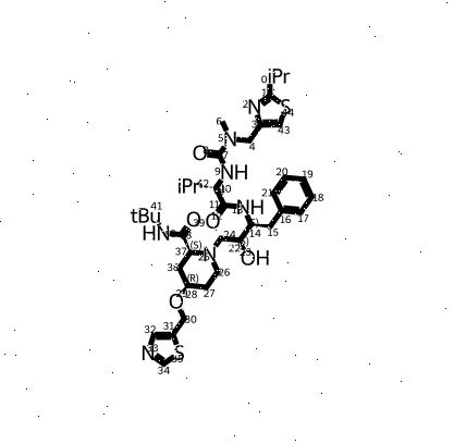 CC(C)c1nc(CN(C)C(=O)N[C@H](C(=O)N[C@@H](Cc2ccccc2)[C@@H](O)CN2CC[C@@H](OCc3cncs3)C[C@H]2C(=O)NC(C)(C)C)C(C)C)cs1